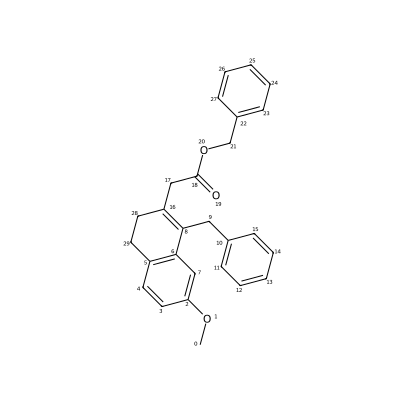 COc1ccc2c(c1)C(Cc1ccccc1)=C(CC(=O)OCc1ccccc1)CC2